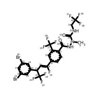 CN(NC(=O)c1ccc(C(F)=CC(c2cc(Br)cc(Br)c2)C(F)(F)F)cc1C(F)(F)F)C(=O)NCC(F)(F)F